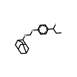 CCC(I)c1ccc(OCOC2C3CC4CC(C3)CC2C4)cc1